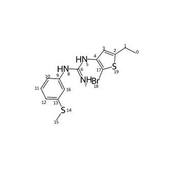 CCc1cc(NC(=N)Nc2cccc(SC)c2)c(Br)s1